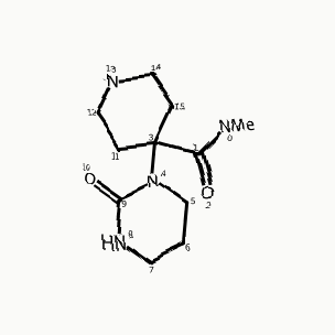 CNC(=O)C1(N2CCCNC2=O)CC[N]CC1